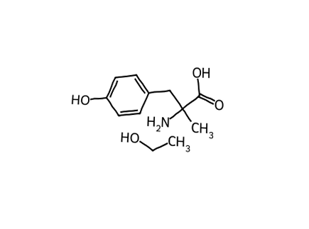 CC(N)(Cc1ccc(O)cc1)C(=O)O.CCO